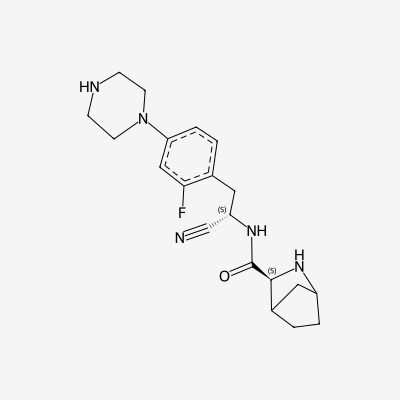 N#C[C@H](Cc1ccc(N2CCNCC2)cc1F)NC(=O)[C@H]1NC2CCC1C2